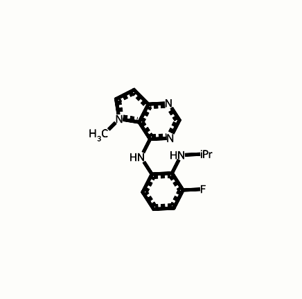 CC(C)Nc1c(F)cccc1Nc1ncnc2ccn(C)c12